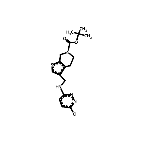 CC(C)(C)OC(=O)N1CCc2c(CNc3ccc(Cl)nn3)csc2C1